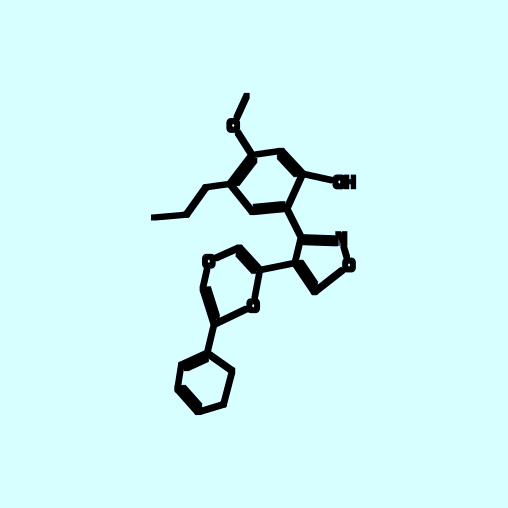 CCCc1cc(-c2nocc2C2=COC=C(C3=CC=CCC3)O2)c(O)cc1OC